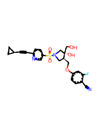 N#Cc1ccc(OC[C@H]2CN(S(=O)(=O)c3ccc(C#CC4CC4)nc3)C[C@@]2(O)CO)cc1F